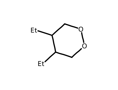 CCC1COOCC1CC